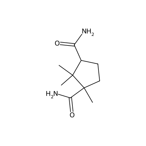 CC1(C(N)=O)CCC(C(N)=O)C1(C)C